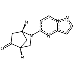 O=C1C[C@H]2C[C@@H]1CN2c1ccn2nccc2n1